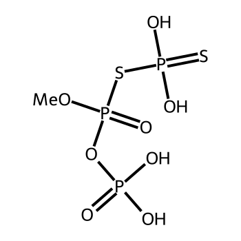 COP(=O)(OP(=O)(O)O)SP(O)(O)=S